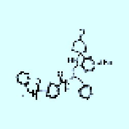 C[C@H](c1ccccc1)N(C)C(=O)c1cccc(C(=O)N[C@H](CCNC2(c3cccc(C(C)(C)C)c3)CCC(=O)CC2)Cc2ccccc2)c1